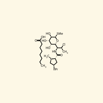 CCCCCCCC(=O)O.CCC[C@@H]1C[C@@H](C(=O)N[C@@H]([C@H]2O[C@H](SC)[C@H](O)[C@@H](O)[C@H]2O)[C@H](C)Cl)N(C)C1